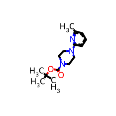 Cc1cccc(N2CCN(C(=O)OC(C)(C)C)CC2)n1